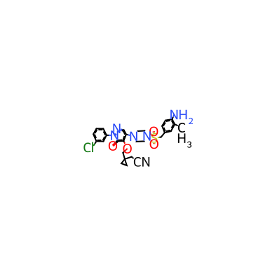 Cc1cc(CS(=O)(=O)N2CCN(c3cnn(-c4cccc(Cl)c4)c(=O)c3OCC3(CC#N)CC3)CC2)ccc1N